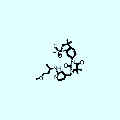 COCCC(C)Nc1cc(CN2C(=O)N(c3ccc4c(c3)N(S(C)(=O)=O)CC4(C)C)C(=O)C2(C)C)ccn1